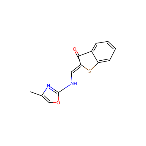 Cc1coc(NC=C2Sc3ccccc3C2=O)n1